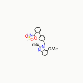 CCCCc1nc2cccc(OC)c2n1Cc1ccc(-c2ccccc2C(=O)NS(C)(=O)=O)cc1